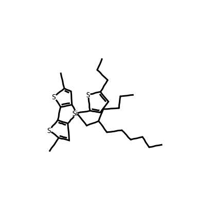 CCCCCCC(CCCC)C[Si]1(c2ccc(CCC)s2)c2cc(C)sc2-c2sc(C)cc21